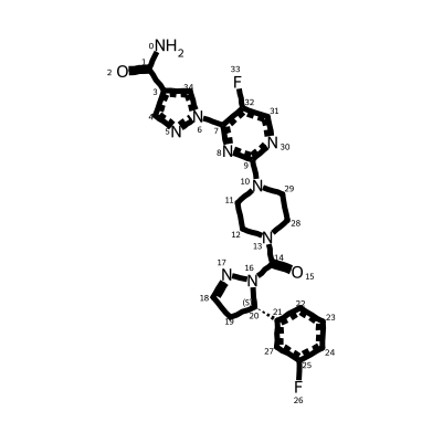 NC(=O)c1cnn(-c2nc(N3CCN(C(=O)N4N=CC[C@H]4c4cccc(F)c4)CC3)ncc2F)c1